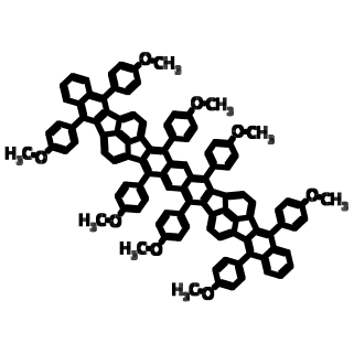 COc1ccc(-c2c3c(c(-c4ccc(OC)cc4)c4ccccc24)-c2ccc4c5c(ccc-3c25)-c2c-4c(-c3ccc(OC)cc3)c3cc4c(-c5ccc(OC)cc5)c5c(c(-c6ccc(OC)cc6)c4cc3c2-c2ccc(OC)cc2)-c2ccc3c4c(ccc-5c24)-c2c-3c(-c3ccc(OC)cc3)c3ccccc3c2-c2ccc(OC)cc2)cc1